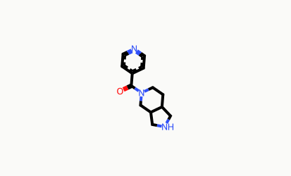 O=C(c1ccncc1)N1CCC2CNCC2C1